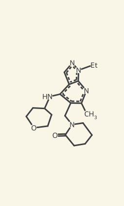 CCn1ncc2c(NC3CCOCC3)c(CN3CCCCC3=O)c(C)nc21